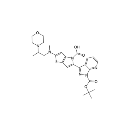 CC(CN(C)c1cc2c(cc(-c3nn(C(=O)OC(C)(C)C)c4ncccc34)n2C(=O)O)s1)N1CCOCC1